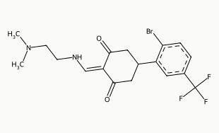 CN(C)CCNC=C1C(=O)CC(c2cc(C(F)(F)F)ccc2Br)CC1=O